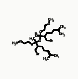 COCCOC(C)(OC(C)(OCCOC)C(CBr)CCC=C(C)C)C(CBr)CCC=C(C)C